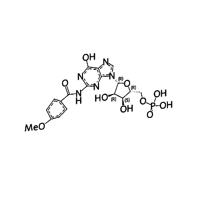 COc1ccc(C(=O)Nc2nc(O)c3ncn([C@@H]4O[C@H](COP(=O)(O)O)[C@@H](O)[C@H]4O)c3n2)cc1